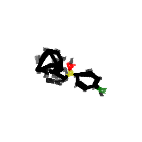 O=CC([S+]([O-])c1ccc(Cl)cc1)C12CC3CC(CC(C3)C1)C2